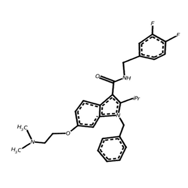 CC(C)c1c(C(=O)NCc2ccc(F)c(F)c2)c2ccc(OCCN(C)C)cc2n1Cc1ccccc1